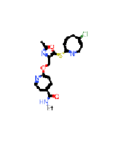 CCNC(=O)C1=CC=C(OCc2nc(C)oc2SC2=N/C/C=C(/Cl)C/C=C\2)N=CC1